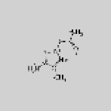 CC(=O)Cn1cc(N)c(C)n1